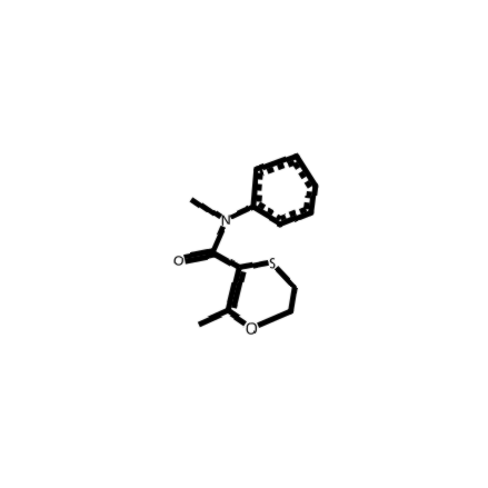 CC1=C(C(=O)N(C)c2ccccc2)SCCO1